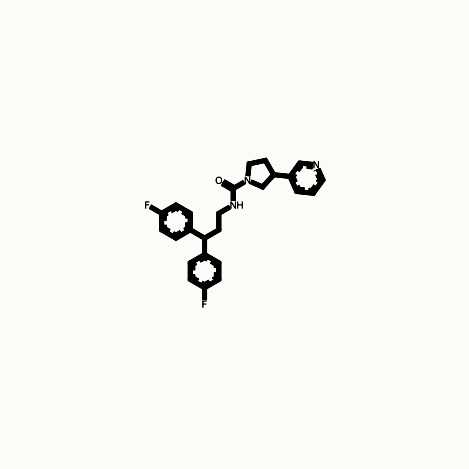 O=C(NCCC(c1ccc(F)cc1)c1ccc(F)cc1)N1CCC(c2cccnc2)C1